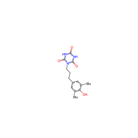 CC(C)(C)c1cc(CCCn2c(=O)[nH]c(=O)[nH]c2=O)cc(C(C)(C)C)c1O